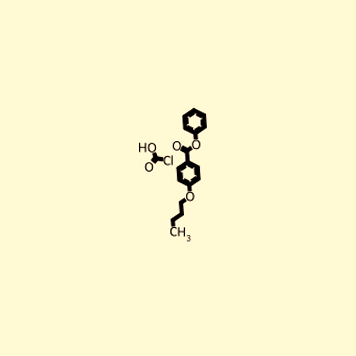 CCCCOc1ccc(C(=O)Oc2ccccc2)cc1.O=C(O)Cl